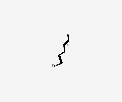 C/[C]=C/CC=CCC